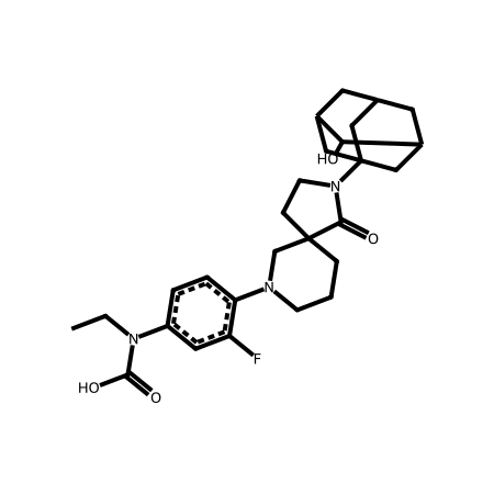 CCN(C(=O)O)c1ccc(N2CCCC3(CCN(C45CC6CC(C4)C(O)C(C6)C5)C3=O)C2)c(F)c1